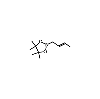 C/C=C/CB1OC(C)(C)C(C)(C)O1